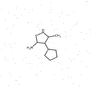 CC1NSC(N)C1N1CCCC1